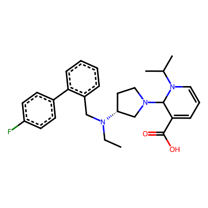 CCN(Cc1ccccc1-c1ccc(F)cc1)[C@@H]1CCN(C2C(C(=O)O)=CC=CN2C(C)C)C1